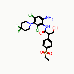 CCS(=O)(=O)c1ccc(C(CO)C(=O)Nc2c(N)cc(Cl)c(N3CCC(F)(F)CC3)c2Cl)cc1